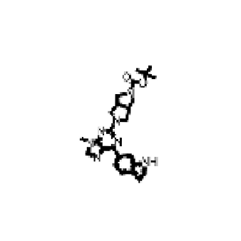 Cn1cnc2c(-c3ccc4cc[nH]c4c3)nc(N3CC4CN(C(=O)OC(C)(C)C)CC4C3)nc21